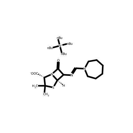 CC1(C)S[C@@H]2C(/N=C/N3CCCCCC3)C(=O)N2[C@H]1C(=O)[O-].CCCC[N+](CCCC)(CCCC)CCCC